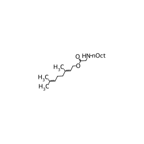 CCCCCCCCNCC(=O)OC/C=C(\C)CCC=C(C)C